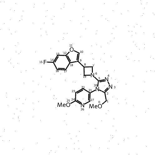 COCc1nnc(N2CC(c3coc4cc(F)ccc34)C2)n1-c1ccc(OC)nc1